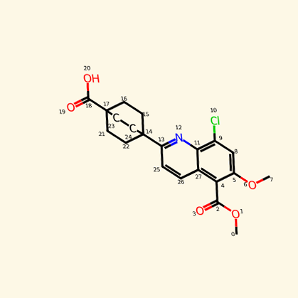 COC(=O)c1c(OC)cc(Cl)c2nc(C34CCC(C(=O)O)(CC3)CC4)ccc12